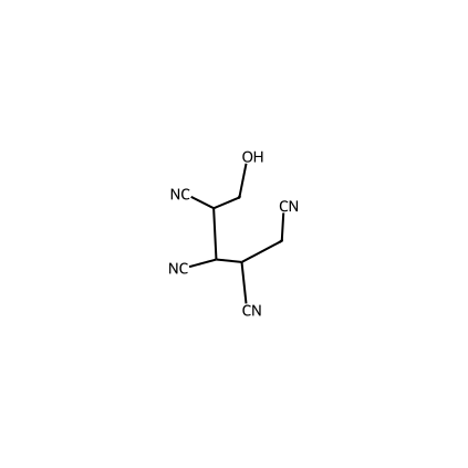 N#CCC(C#N)C(C#N)C(C#N)CO